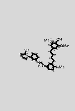 CNc1ccc(OCNc2cccc(-n3nnnc3S)c2)cc1CCC=Cc1cc(OC)c(O)c(OC)c1